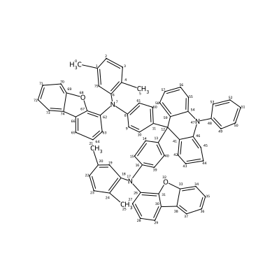 Cc1ccc(C)c(N(c2ccc(C3(c4ccc(N(c5cc(C)ccc5C)c5cccc6c5oc5ccccc56)cc4)c4ccccc4N(c4ccccc4)c4ccccc43)cc2)c2cccc3c2oc2ccccc23)c1